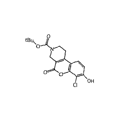 CC(C)(C)OC(=O)N1CCc2c(c(=O)oc3c(Cl)c(O)ccc23)C1